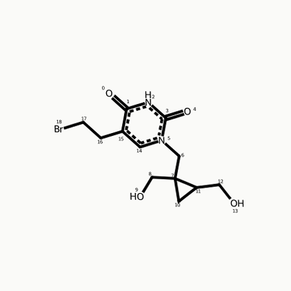 O=c1[nH]c(=O)n(CC2(CO)CC2CO)cc1CCBr